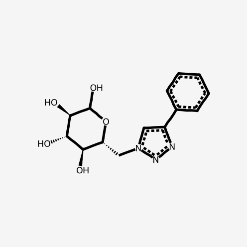 OC1O[C@H](Cn2cc(-c3ccccc3)nn2)[C@@H](O)[C@H](O)[C@H]1O